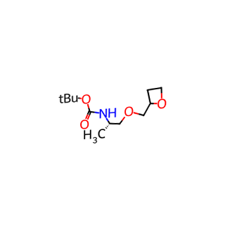 C[C@@H](COCC1CCO1)NC(=O)OC(C)(C)C